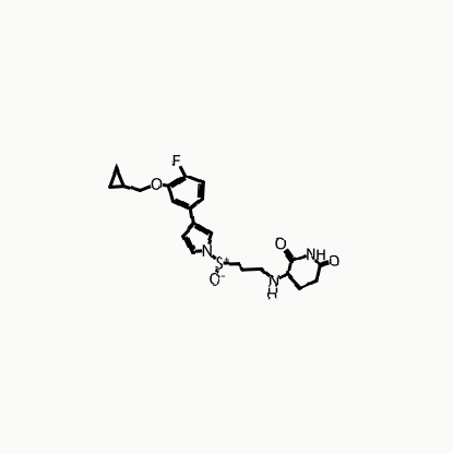 O=C1CCC(NCCC[S+]([O-])n2ccc(-c3ccc(F)c(OCC4CC4)c3)c2)C(=O)N1